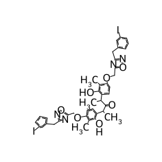 Cc1c(OCc2nc(Cc3cccc(I)c3)no2)ccc(C(C)C(=O)C(C)c2ccc(OCc3nc(Cc4cccc(I)c4)no3)c(C)c2O)c1O